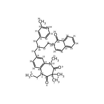 CCN1C(=O)C(C)(C)C(=O)N(C)c2cc(CN(CCn3ccc4ccccc4c3=O)Cc3ccnc(C)c3)ccc21